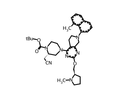 Cc1cccc2cccc(N3CCc4c(nc(OC[C@H]5CCCN5C)nc4N4CCN(C(=O)OC(C)(C)C)[C@@H](CC#N)C4)C3)c12